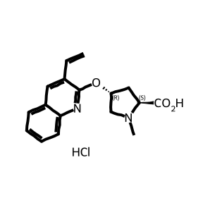 C=Cc1cc2ccccc2nc1O[C@@H]1C[C@@H](C(=O)O)N(C)C1.Cl